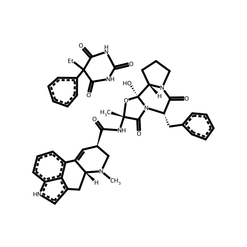 CCC1(c2ccccc2)C(=O)NC(=O)NC1=O.CN1C[C@H](C(=O)N[C@]2(C)O[C@@]3(O)[C@@H]4CCCN4C(=O)[C@H](Cc4ccccc4)N3C2=O)C=C2c3cccc4[nH]cc(c34)C[C@H]21